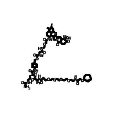 CC[C@@]1(O)C(=O)CCc2c1cc1n(c2=O)Cc2c-1nc1cc(F)c(C)c3c1c2[C@@H](NC(=O)COCNC(=O)CNC(=O)OCc1ccc(NC(=O)[C@H](CCCNC(N)=O)NC(=O)[C@H](NC(=O)CCOCCOCCOCCOCCNC(=O)COC2C#CCCCCC2)C(C)C)cc1)CC3